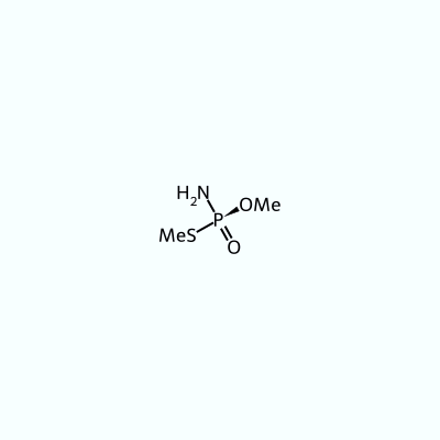 CO[P@@](N)(=O)SC